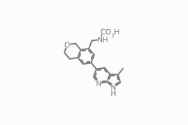 Cc1c[nH]c2ncc(-c3cc4c(c(CNC(=O)O)c3)COCC4)cc12